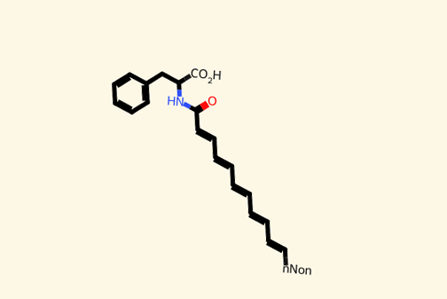 CCCCCCCCCC=CC=CC=CC=CC=CC(=O)NC(Cc1ccccc1)C(=O)O